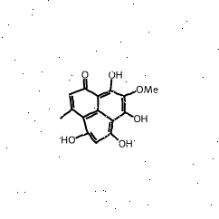 COc1c(O)c2c3c(c(O)cc(O)c3c1O)C(C)=CC2=O